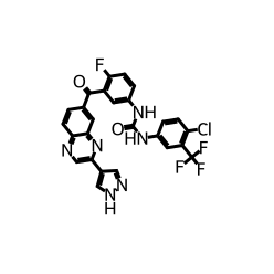 O=C(Nc1ccc(F)c(C(=O)c2ccc3ncc(-c4cn[nH]c4)nc3c2)c1)Nc1ccc(Cl)c(C(F)(F)F)c1